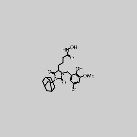 COc1cc(Br)cc(CN2C(=O)N(C34CC5CC(CC(C5)C3)C4)C(=O)C2CCCC(=O)NO)c1O